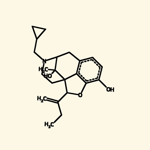 C=C(CC)C1Oc2c(O)ccc3c2C12CCN(CC1CC1)C(C3)C2(C)O